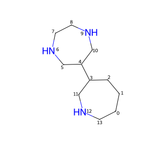 C1CCC(C2CNCCNC2)CNC1